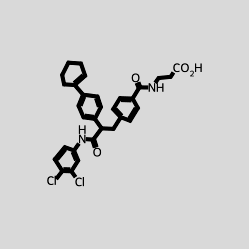 O=C(O)CCNC(=O)c1ccc(CC(C(=O)Nc2ccc(Cl)c(Cl)c2)c2ccc(C3=CCCCC3)cc2)cc1